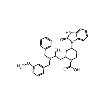 COc1cccc(CN(Cc2ccccc2)C(C)CC2CC(n3c(=O)[nH]c4ccccc43)CCN2C(=O)O)c1